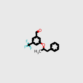 CC(Cc1ccccc1)Oc1cc(C=O)cc(C(F)(F)F)c1